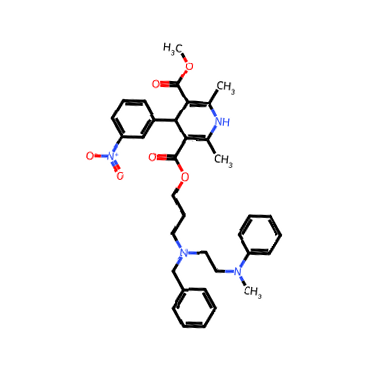 COC(=O)C1=C(C)NC(C)=C(C(=O)OCCCN(CCN(C)c2ccccc2)Cc2ccccc2)C1c1cccc([N+](=O)[O-])c1